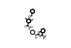 Cc1cc(C(=O)NC[C@H]2CC[C@@H](Nc3nc(N(C)C)c4ccccc4n3)CC2)cc(C)c1OCc1ccccc1